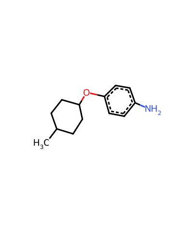 CC1CCC(Oc2ccc(N)cc2)CC1